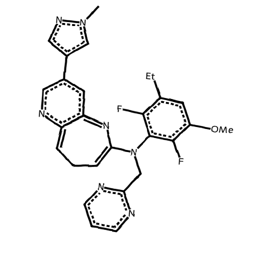 CCc1cc(OC)c(F)c(N(Cc2ncccn2)C2=CCC=c3ncc(-c4cnn(C)c4)cc3=N2)c1F